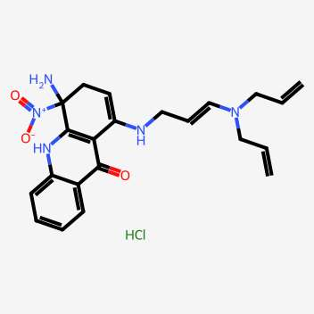 C=CCN(C=CCNC1=CCC(N)([N+](=O)[O-])c2[nH]c3ccccc3c(=O)c21)CC=C.Cl